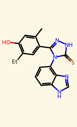 CCc1cc(-c2n[nH]c(=S)n2-c2cccc3[nH]cnc23)c(C)cc1O